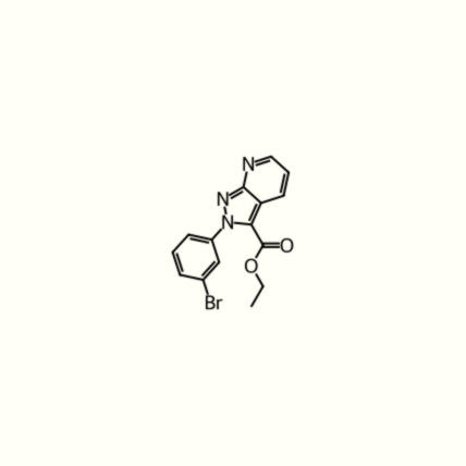 CCOC(=O)c1c2cccnc2nn1-c1cccc(Br)c1